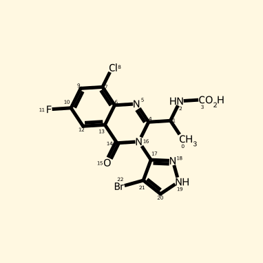 CC(NC(=O)O)c1nc2c(Cl)cc(F)cc2c(=O)n1-c1n[nH]cc1Br